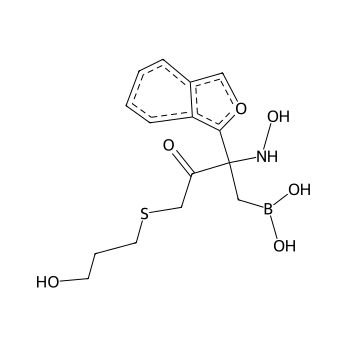 O=C(CSCCCO)C(CB(O)O)(NO)c1occ2ccccc12